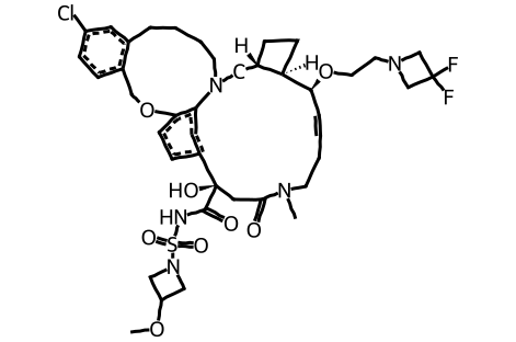 COC1CN(S(=O)(=O)NC(=O)[C@@]2(O)CC(=O)N(C)CC/C=C/[C@H](OCCN3CC(F)(F)C3)[C@@H]3CC[C@H]3CN3CCCCc4cc(Cl)ccc4COc4ccc2cc43)C1